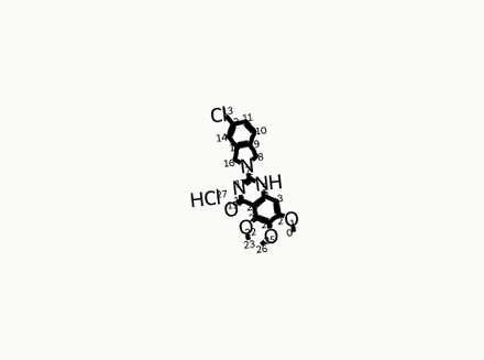 COc1cc2[nH]c(N3Cc4ccc(Cl)cc4C3)nc(=O)c2c(OC)c1OC.Cl